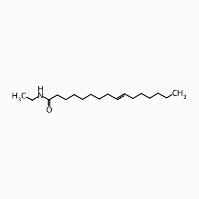 CCCCCCC=CCCCCCCCC(=O)NCC